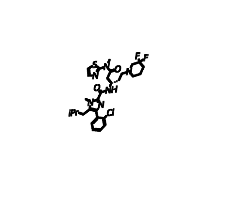 CC(C)Cc1c(-c2ccccc2Cl)nc(C(=O)N[C@@H](CCN2CCCC(F)(F)C2)CC(=O)N(C)c2nccs2)n1C